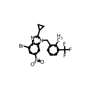 Cc1c(Cn2c(C3CC3)nc3c(Br)cc([N+](=O)[O-])cc32)cccc1C(F)(F)F